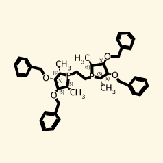 C[C@H]1[C@@H](OCc2ccccc2)[C@H](OCc2ccccc2)[C@H](C)P1CCP1[C@@H](C)[C@@H](OCc2ccccc2)[C@H](OCc2ccccc2)[C@@H]1C